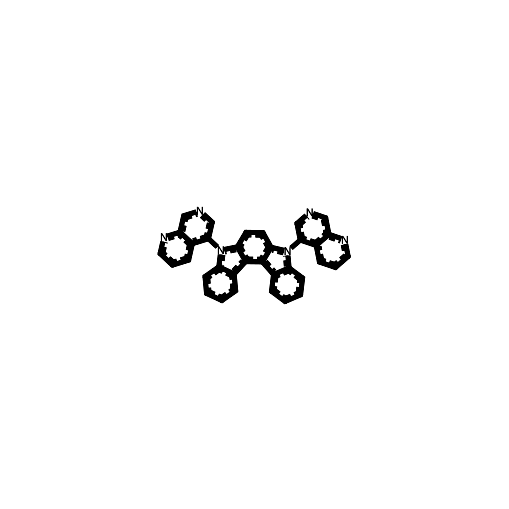 c1cnc2cncc(-n3c4ccccc4c4c5c6ccccc6n(-c6cncc7ncccc67)c5ccc43)c2c1